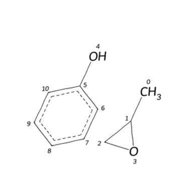 CC1CO1.Oc1ccccc1